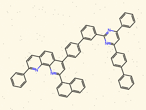 c1ccc(-c2ccc(-c3cc(-c4ccccc4)nc(-c4cccc(-c5ccc(-c6cc(-c7cccc8ccccc78)nc7c6ccc6ccc(-c8ccccc8)nc67)cc5)c4)n3)cc2)cc1